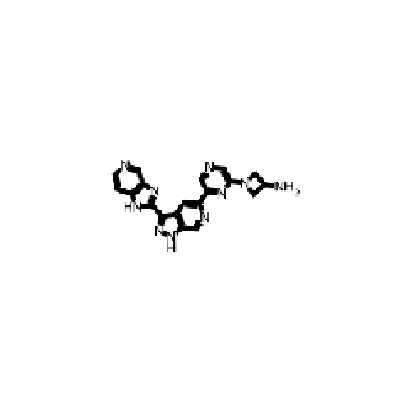 NC1CN(c2cncc(-c3cc4c(-c5nc6cnccc6[nH]5)n[nH]c4cn3)n2)C1